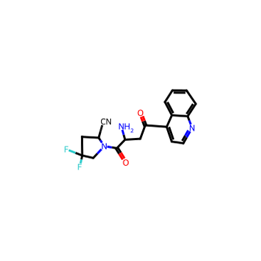 N#CC1CC(F)(F)CN1C(=O)C(N)CC(=O)c1ccnc2ccccc12